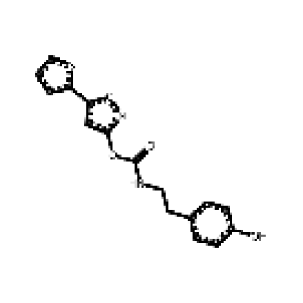 O=C(NCCc1ccc(O)cc1)Oc1cc(-c2cccs2)on1